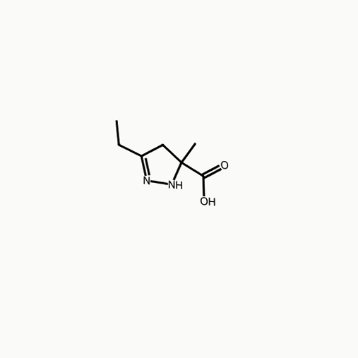 CCC1=NNC(C)(C(=O)O)C1